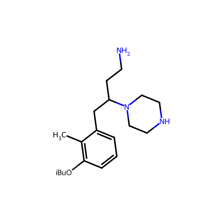 Cc1c(CC(CCN)N2CCNCC2)cccc1OCC(C)C